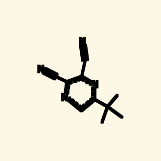 CC(C)(C)c1cnc(C#N)c(C#N)n1